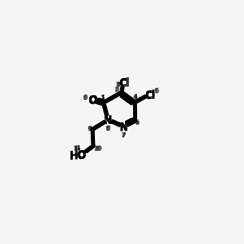 O=c1c(Cl)c(Cl)cnn1CCO